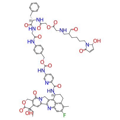 CC[C@@]1(O)C(=O)OCc2c1cc1n(c2=O)Cc2c-1nc1cc(F)c(C)c3c1c2[C@@H](NC(=O)c1ccc(NC(=O)OCc2ccc(NC(=O)CNC(=O)[C@H](Cc4ccccc4)NC(=O)COC(=O)CNCC(C=O)CCCCN4C(=O)C=CC4O)cc2)cn1)CC3